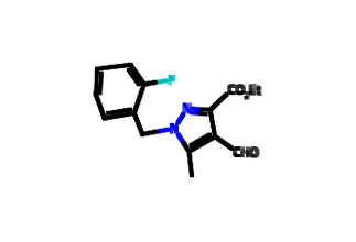 CCOC(=O)c1nn(Cc2ccccc2F)c(C)c1C=O